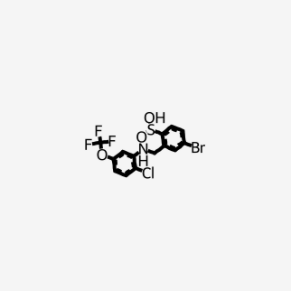 O=S(O)c1ccc(Br)cc1CNc1cc(OC(F)(F)F)ccc1Cl